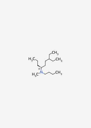 CCCCN(C)[C@@H](CCC)CCC(CC)CC